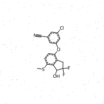 CSc1ccc(Oc2cc(Cl)cc(C#N)c2)c2c1C(O)C(F)(F)C2